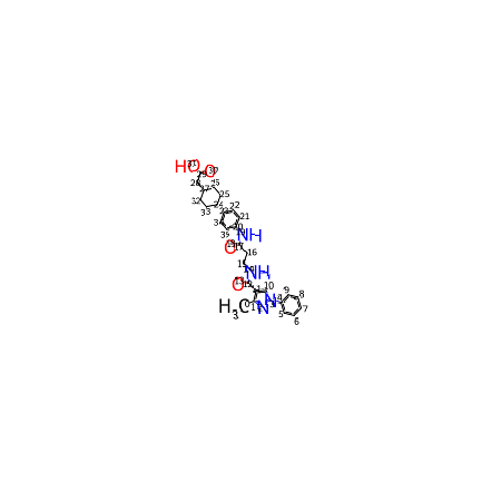 Cc1nn(-c2ccccc2)cc1C(=O)NCCC(=O)Nc1ccc([C@H]2CC[C@H](CC(=O)O)CC2)cc1